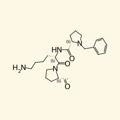 NCCCC[C@H](NC(=O)[C@@H]1CCCN1Cc1ccccc1)C(=O)N1CCC[C@H]1[C]=O